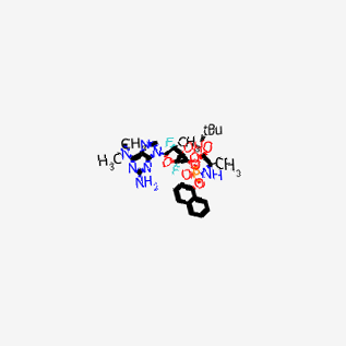 C[C@H](N[P@](=O)(Oc1cccc2ccccc12)OC1[C@]2(O)[C@@](C)(F)[C@H](n3cnc4c(N(C)C)nc(N)nc43)O[C@]12F)C(=O)OCC(C)(C)C